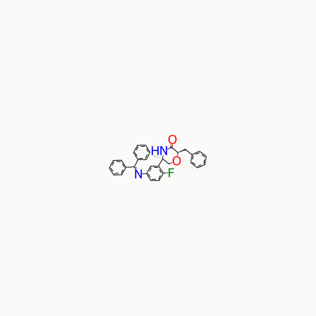 C[C@@]1(c2cc(N=C(c3ccccc3)c3ccccc3)ccc2F)CO[C@H](Cc2ccccc2)C(=O)N1